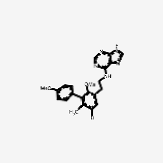 COc1ccc(-c2c(C)c(Cl)cc(CCNc3ncnc4[nH]cnc34)c2OC)cc1